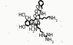 Cc1cc(O)cc(C)c1CC(NC(=O)C(N)CCCNC(=N)N)C(=O)NC(CCCCN)C(=O)N[C@@H](Cc1ccccc1)C(=O)O.Cl